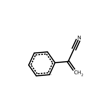 C=C(C#N)c1[c]cccc1